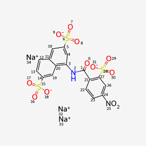 O=C(Nc1cc(S(=O)(=O)[O-])cc2ccc(S(=O)(=O)[O-])cc12)c1ccc([N+](=O)[O-])cc1S(=O)(=O)[O-].[Na+].[Na+].[Na+]